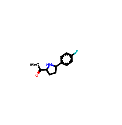 COC(=O)C1CCC(c2ccc(F)cc2)N1